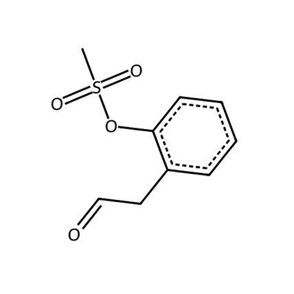 CS(=O)(=O)Oc1ccccc1CC=O